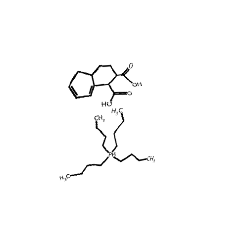 CCCC[PH](CCCC)(CCCC)CCCC.O=C(O)C1CCC2CC=CC=C2C1C(=O)O